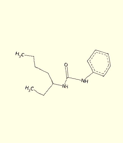 CCCCC(CC)NC(=O)Nc1ccccc1